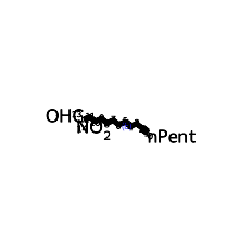 CCCCCC#CC/C=C/CCCCCCC([C]=O)[N+](=O)[O-]